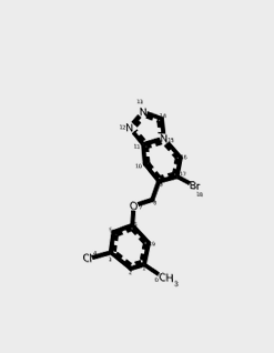 Cc1cc(Cl)cc(OCc2cc3nncn3cc2Br)c1